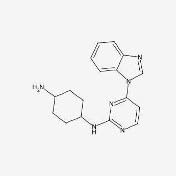 NC1CCC(Nc2nccc(-n3cnc4ccccc43)n2)CC1